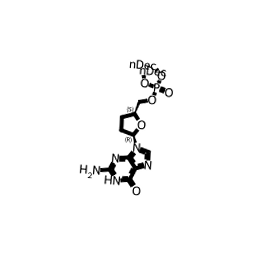 CCCCCCCCCCOP(=O)(OCCCCCCCCCC)OC[C@@H]1CC[C@H](n2cnc3c(=O)[nH]c(N)nc32)O1